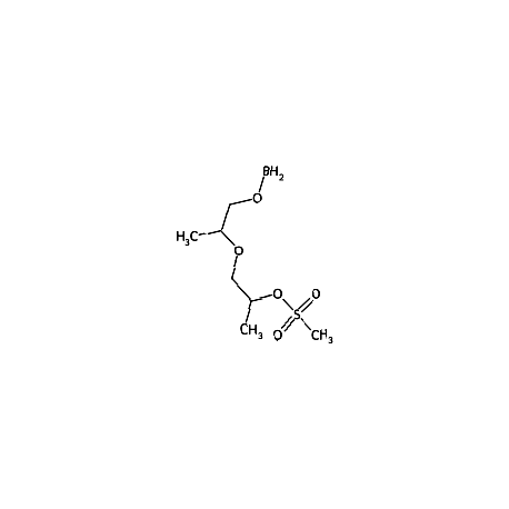 BOCC(C)OCC(C)OS(C)(=O)=O